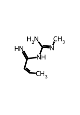 C/C=C\C(=N)N/C(N)=N/C